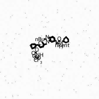 CCCCCN(C(=O)NC1CCCCC1)c1ccc2nc(CCCC)n(Cc3ccc(-c4ccccc4OC(=O)NS(=O)(=O)C(F)(F)F)cc3)c2c1